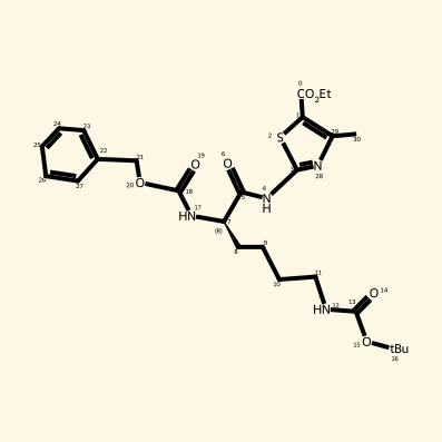 CCOC(=O)c1sc(NC(=O)[C@@H](CCCCNC(=O)OC(C)(C)C)NC(=O)OCc2ccccc2)nc1C